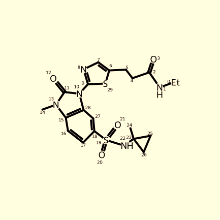 CCNC(=O)CCc1cnc(-n2c(=O)n(C)c3ccc(S(=O)(=O)NC4(C)CC4)cc32)s1